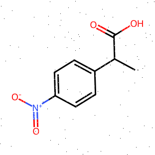 [CH2]C(C(=O)O)c1ccc([N+](=O)[O-])cc1